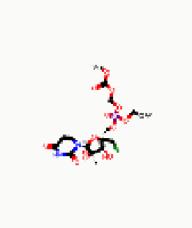 CC(=O)OCOP(=O)(OCOC(=O)OC(C)C)OC[C@@]1(CF)O[C@@H](n2ccc(=O)[nH]c2=O)[C@](C)(O)[C@@H]1O